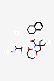 CCC1(CC)CC2OCC[C@H](NC(=O)C(C)NC)C(=O)N2C1C(=O)N[C@@H]1CCCc2ccccc21.Cl